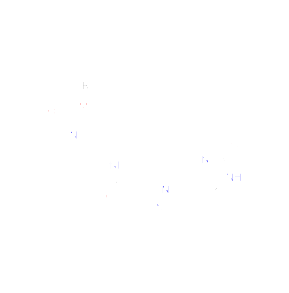 CC(C)(C)OC(=O)NCCNC(=O)c1cnn(C2=CC3CN(C2)C(=O)N3)c1